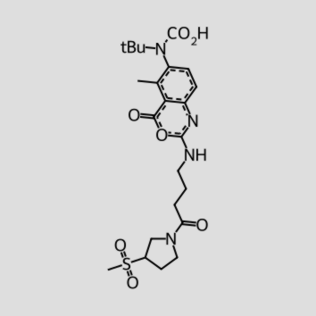 Cc1c(N(C(=O)O)C(C)(C)C)ccc2nc(NCCCC(=O)N3CCC(S(C)(=O)=O)C3)oc(=O)c12